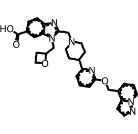 O=C(O)c1ccc2nc(CN3CCC(c4cccc(OCc5cccn6nccc56)n4)CC3)n(CC3CCO3)c2c1